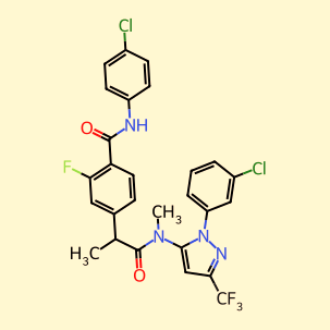 CC(C(=O)N(C)c1cc(C(F)(F)F)nn1-c1cccc(Cl)c1)c1ccc(C(=O)Nc2ccc(Cl)cc2)c(F)c1